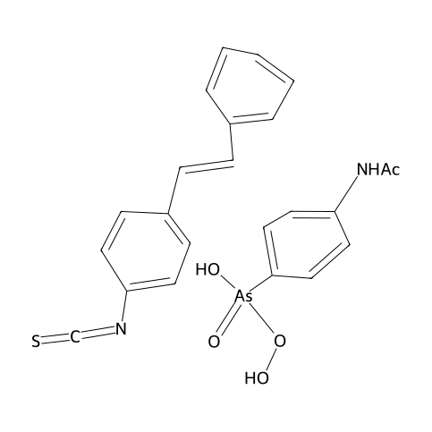 CC(=O)Nc1ccc([As](=O)(O)OO)cc1.S=C=Nc1ccc(C=Cc2ccccc2)cc1